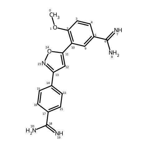 COc1ccc(C(=N)N)cc1-c1cc(-c2ccc(C(=N)N)cc2)no1